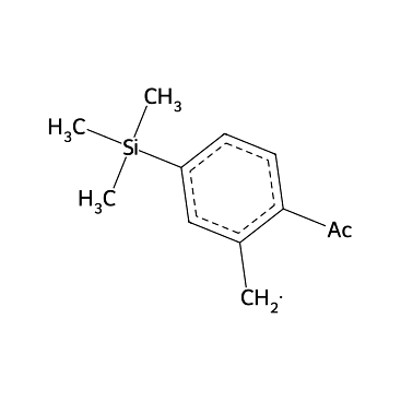 [CH2]c1cc([Si](C)(C)C)ccc1C(C)=O